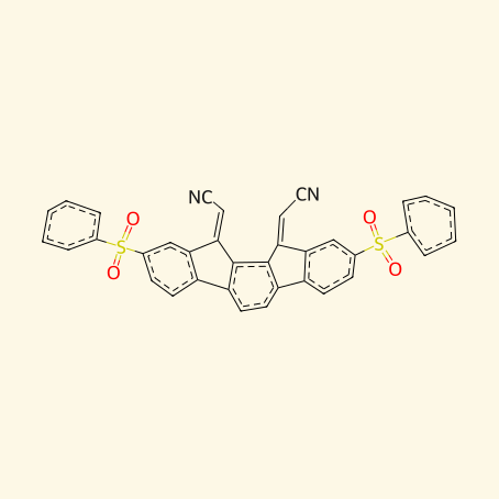 N#C/C=C1\c2cc(S(=O)(=O)c3ccccc3)ccc2-c2ccc3c(c21)/C(=C/C#N)c1cc(S(=O)(=O)c2ccccc2)ccc1-3